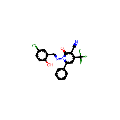 N#Cc1c(C(F)(F)F)cc(-c2ccccc2)n(N=Cc2cc(Cl)ccc2O)c1=O